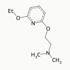 CCOc1cccc(OCCN(C)C)n1